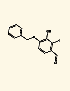 O=Cc1ccc(OCc2ccccc2)c(O)c1I